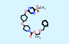 C[C@@H](COCc1ccccc1)OC(=O)N1CCC(OC2CCC(Oc3cnc(S(C)(=O)=O)cn3)CC2)CC1